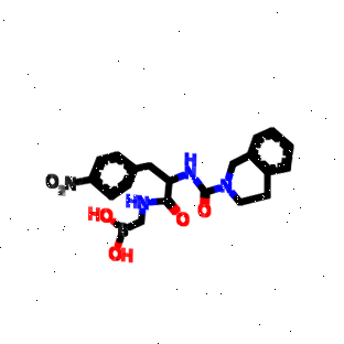 O=C(NCB(O)O)C(Cc1ccc([N+](=O)[O-])cc1)NC(=O)N1CCc2ccccc2C1